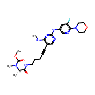 CCCNc1nc(Nc2cnc(N3CCOCC3)c(F)c2)ncc1C#CCCCNC(=O)[C@H](C)N(C)C(=O)OC(C)(C)C